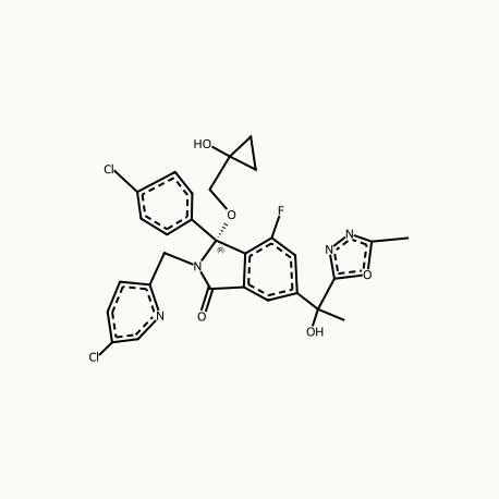 Cc1nnc(C(C)(O)c2cc(F)c3c(c2)C(=O)N(Cc2ccc(Cl)cn2)[C@@]3(OCC2(O)CC2)c2ccc(Cl)cc2)o1